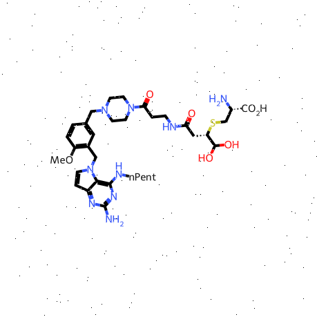 CCCCCNc1nc(N)nc2ccn(Cc3cc(CN4CCN(C(=O)CCNC(=O)C[C@H](SC[C@H](N)C(=O)O)C(O)O)CC4)ccc3OC)c12